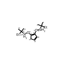 CCC(C)(C)[SiH2]OC1=C(O[SiH2]C(C)(C)CC)C[C]=C1